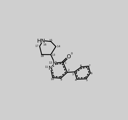 O=c1c(-c2ccccc2)ccnn1C1CCNCC1